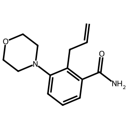 C=CCc1c(C(N)=O)cccc1N1CCOCC1